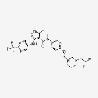 Cc1nsc(Nc2cnc(C(F)(F)F)cn2)c1C(=O)Nc1ccc(OC[C@@H]2CCCN(CC(F)F)C2)nc1